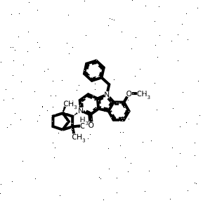 COc1cccc2c3c(=O)n([C@@H]4C(C)(C)C5CC[C@@]4(C)C5)ccc3n(Cc3ccccc3)c12